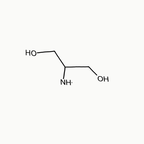 [NH]C(CO)CO